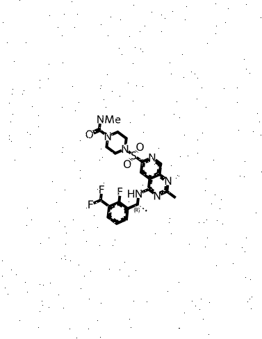 CNC(=O)N1CCN(S(=O)(=O)c2cc3c(N[C@H](C)c4cccc(C(F)F)c4F)nc(C)nc3cn2)CC1